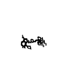 C[Si](C)(C)CCOCn1cc(I)c2ccnc(Cl)c21